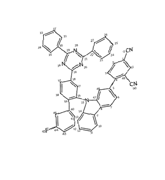 N#Cc1ccc(-c2ccc3c4ccccc4n(-c4cc(-c5nc(-c6ccccc6)nc(-c6ccccc6)n5)ccc4-c4cccc(F)c4)c3c2)c(C#N)c1